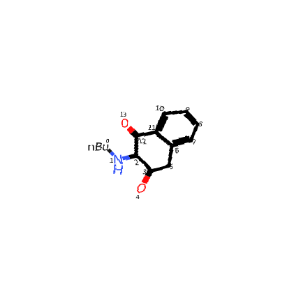 CCCCNC1C(=O)Cc2ccccc2C1=O